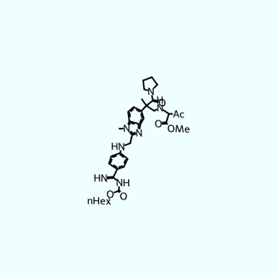 CCCCCCOC(=O)NC(=N)c1ccc(NCc2nc3cc(C(C)(CNC(C(C)=O)C(=O)OC)C(=O)N4CCCC4)ccc3n2C)cc1